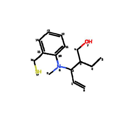 C=CC(C(CC)CO)N(C)c1ccccc1CS